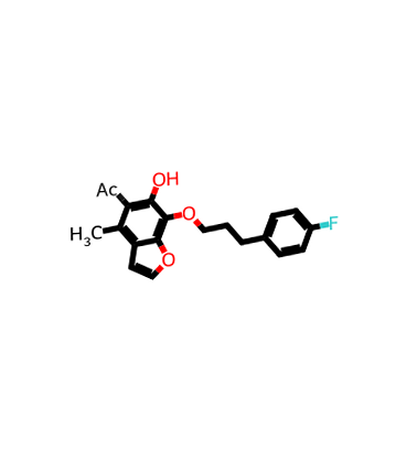 CC(=O)c1c(O)c(OCCCc2ccc(F)cc2)c2occc2c1C